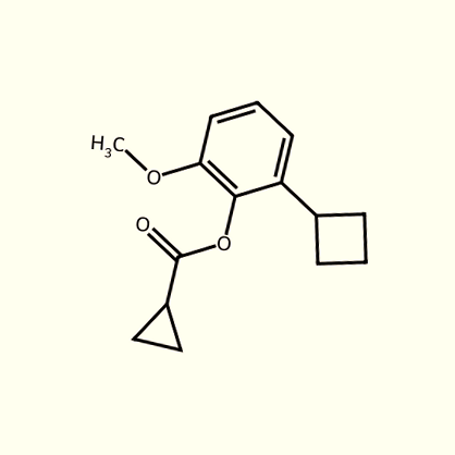 COc1cccc(C2CCC2)c1OC(=O)C1CC1